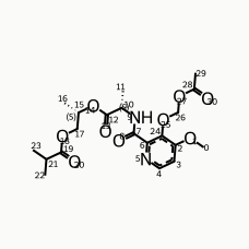 COc1ccnc(C(=O)N[C@@H](C)C(=O)O[C@@H](C)COC(=O)C(C)C)c1OCOC(C)=O